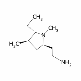 CC[C@H]1[C@H](C)C[C@H](CCN)N1C